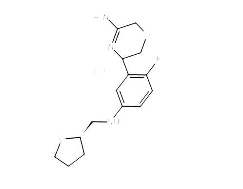 C[C@@]1(c2cc(NC[C@H]3CCCO3)ccc2F)COCC(N)=N1